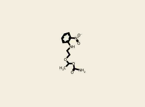 CC(OCCNc1ccccc1[N+](=O)[O-])OC(N)=O